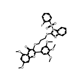 COc1cc(OC)c2c(=O)c(OCCCSc3nc4ccccc4n3S(=O)(=O)c3ccccc3F)c(-c3cc(OC)c(OC)c(OC)c3)oc2c1